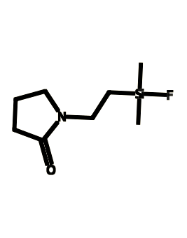 C[Si](C)(F)CCN1CCCC1=O